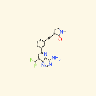 CN1CC[C@H](C#Cc2cccc(-c3cc(C(F)F)c4ncnc(N)c4n3)c2)C1=O